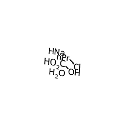 CCCCl.O.O=C(O)O.[NaH]